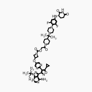 CC(C)(C1CCN(C(=O)COC(=O)N2CC(Oc3cnc(-c4c(-c5nn(C(C)(C)C)c6ncnc(N)c56)noc4C4CC4)nc3)C2)CC1)N1CCN(c2c(F)cc(N[C@H]3CCC(=O)NC3=O)cc2F)CC1